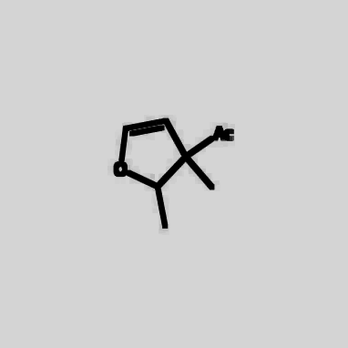 CC(=O)C1(C)C=COC1C